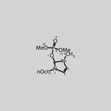 CCCCCCCCN1C=CN(C)C1OP(=O)(OC)OC